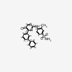 Cc1cc(S(N)(=O)=O)ccc1Nc1ncc(Cl)c(-c2cccc(-c3ccccc3)c2)n1